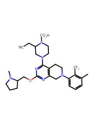 Cc1cccc(N2CCc3c(nc(OCC4CCCN4C)nc3N3CCN(C(=O)O)C(CC#N)C3)C2)c1C(F)(F)F